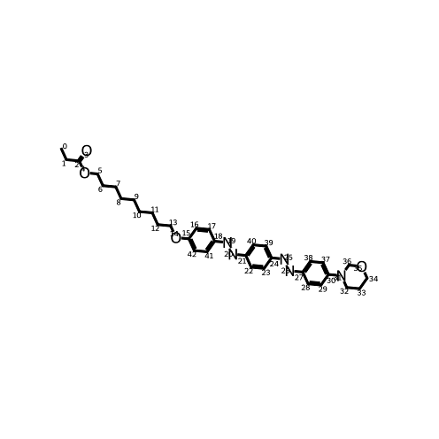 CCC(=O)OCCCCCCCCCOc1ccc(N=Nc2ccc(N=Nc3ccc(N4CCCOC4)cc3)cc2)cc1